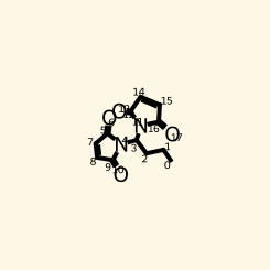 CCCC(N1C(=O)C=CC1=O)N1C(=O)C=CC1=O